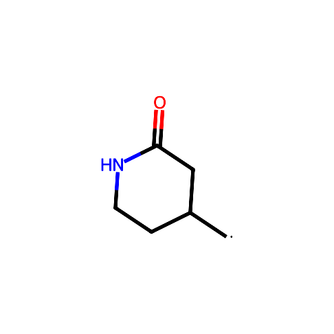 [CH2]C1CCNC(=O)C1